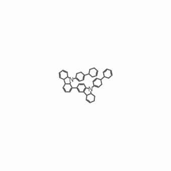 C1=CCC(C2C=CC(N3c4ccc(C5=CC=CC6C7C=CC=CC7N(C7=CC=C(C8CC=CCC8)CC7)C56)cc4C4C=CCCC43)=CC2)C=C1